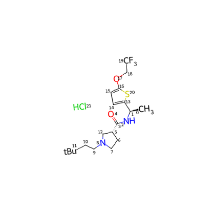 C[C@@H](NC(=O)[C@@H]1CCN(CCC(C)(C)C)C1)c1ccc(OCC(F)(F)F)s1.Cl